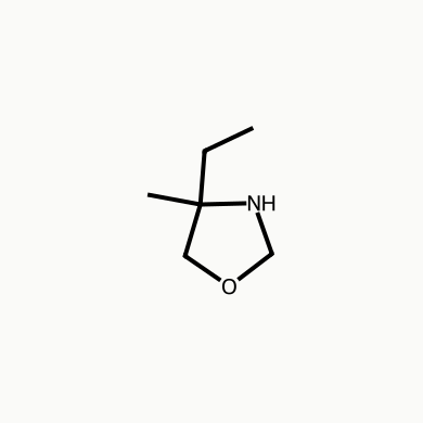 CCC1(C)COCN1